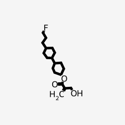 C=C(CO)C(=O)OC1CCC(C2CCC(CCCF)CC2)CC1